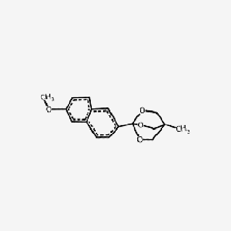 COc1ccc2cc(C34OCC(C)(CO3)CO4)ccc2c1